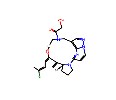 C=C1/C(=C\C=C(/C)F)OCCN(C(=O)CO)Cc2cnn3ccc(nc23)N2CCC[C@H]12